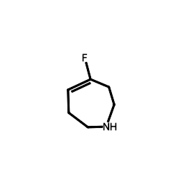 FC1=CCCNCC1